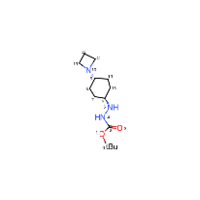 CC(C)(C)OC(=O)NN[C@H]1CC[C@H](N2CCC2)CC1